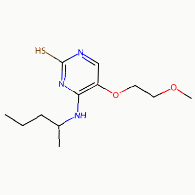 CCCC(C)Nc1nc(S)ncc1OCCOC